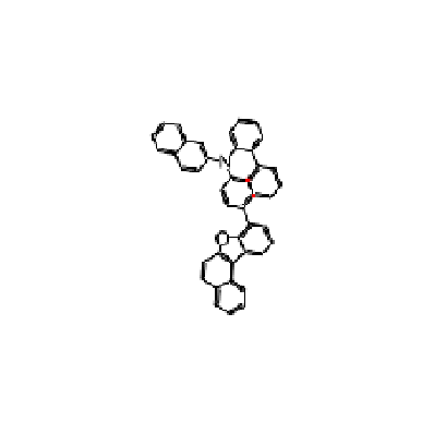 c1ccc(-c2ccccc2N(c2ccc(-c3cccc4c3oc3ccc5ccccc5c34)cc2)c2ccc3ccccc3c2)cc1